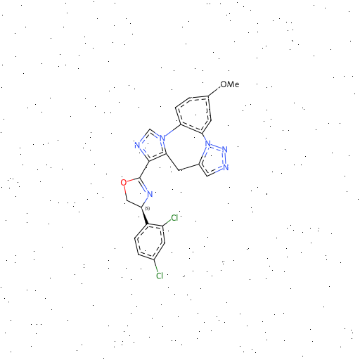 COc1ccc2c(c1)-n1nncc1Cc1c(C3=N[C@@H](c4ccc(Cl)cc4Cl)CO3)ncn1-2